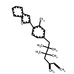 C=CC(=C)CC(C)(C)C(C)(C)Cc1ccc(-c2cc3ccccc3o2)c(C(F)(F)F)c1